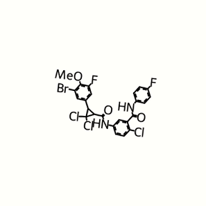 COc1c(F)cc(C2C(C(=O)Nc3ccc(Cl)c(C(=O)Nc4ccc(F)cc4)c3)C2(Cl)Cl)cc1Br